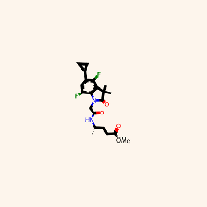 COC(=O)CC[C@H](C)NC(=O)CN1C(=O)C(C)(C)c2c(F)c(C3CC3)cc(F)c21